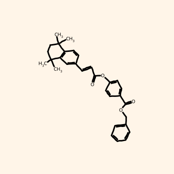 CC1(C)CCC(C)(C)c2cc(/C=C/C(=O)Oc3ccc(C(=O)OCc4ccccc4)cc3)ccc21